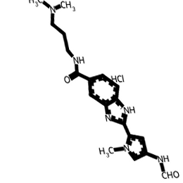 CN(C)CCCNC(=O)c1ccc2[nH]c(-c3cc(NC=O)cn3C)nc2c1.Cl